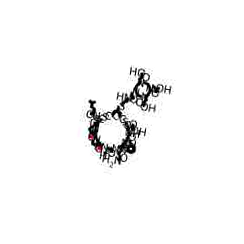 CC[C@@H]1NC(=O)[C@@H]2CCCN2C(=O)[C@@H]2CCCN2C(=O)C(/C=N/C(=O)CCC(C)C)CSCc2cc(CSCCNC(=O)CN3CCN(CC(=O)O)CCN(CC(=O)O)CCN(CC(=O)O)CC3)cc(c2)CSC[C@@H](C(=O)O)NC(=O)[C@H](Cc2ccccc2)NC(=O)[C@H](CCC(N)=O)NC1=O